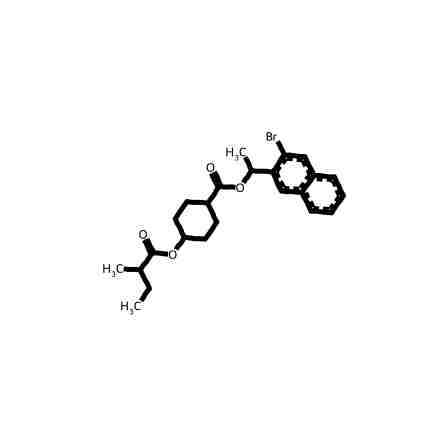 CCC(C)C(=O)OC1CCC(C(=O)OC(C)c2cc3ccccc3cc2Br)CC1